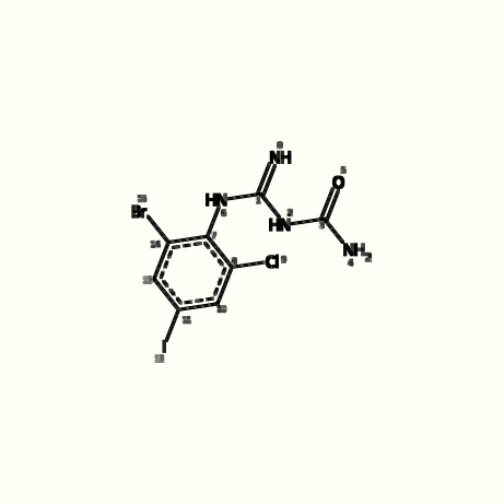 N=C(NC(N)=O)Nc1c(Cl)cc(I)cc1Br